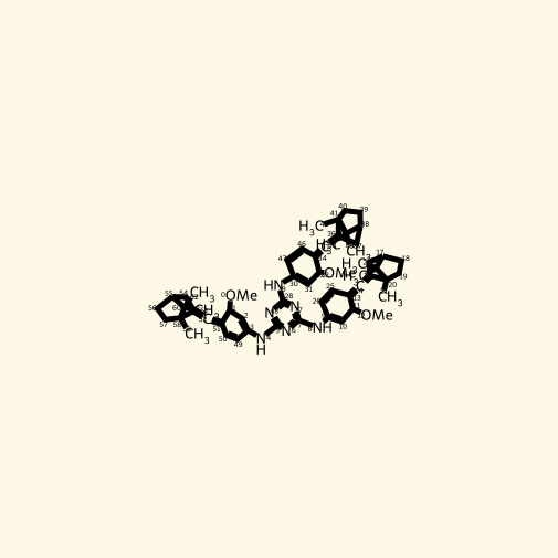 COC1C=C(Nc2nc(NC3=CC(OC)C(=C=C4CC5CCC4(C)C5(C)C)C=C3)nc(NC3=CC(OC)C(=C=C4CC5CCC4(C)C5(C)C)C=C3)n2)C=CC1=C=C1CC2CCC1(C)C2(C)C